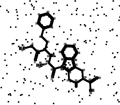 COC(=O)C(CCc1ccccc1)N[C@@H](C)C(=O)n1c2c(c3ccccc31)CC(C(=O)O)NC2